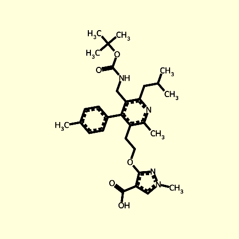 Cc1ccc(-c2c(CCOc3nn(C)cc3C(=O)O)c(C)nc(CC(C)C)c2CNC(=O)OC(C)(C)C)cc1